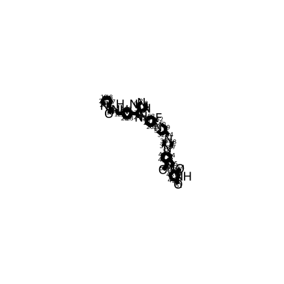 Nc1ncnc2c1c(-c1ccc(CNC(=O)c3ccccn3)cc1)nn2-c1ccc(N2CCC(CN3CCN(c4ccc5c(c4)CN([C@H]4CCC(=O)NC4=O)C5=O)CC3)CC2)c(F)c1